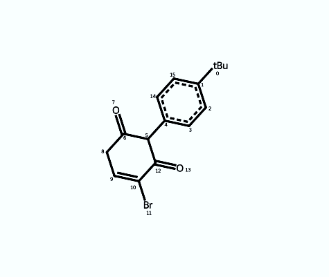 CC(C)(C)c1ccc(C2C(=O)CC=C(Br)C2=O)cc1